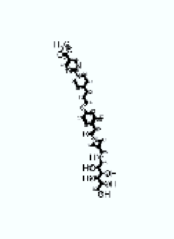 COC(=O)c1cnc(N2CCC(CCCOc3ccc(CC(=O)N4CC(CNCC(O)C(O)C(O)C(O)CO)C4)c(F)c3)CC2)nc1